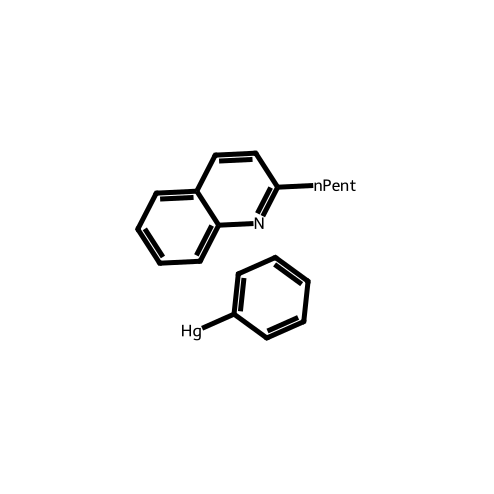 CCCCCc1ccc2ccccc2n1.[Hg][c]1ccccc1